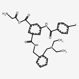 CCN(CC)Cc1ccccc1CNC(=O)c1cc(NC(=O)c2ccc(F)cc2)cc(C(=O)OC(=O)CN)c1